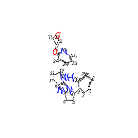 c1ccc(C2CCc3nc4c(n32)N[C@@H](c2ccnc(OC3COC3)c2)CC4)cc1